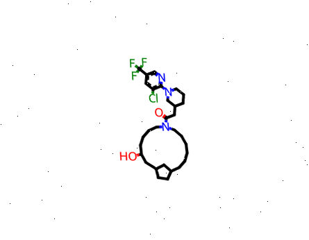 O=C(CC1CCCN(c2ncc(C(F)(F)F)cc2Cl)C1)N1CCCCCCC2CCC(CC(O)CCCC1)C2